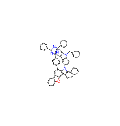 C1=CC(Cn2c3ccccc3c3cc(-n4c5c(-c6ccc(-c7nc(-c8ccccc8)nc(-c8ccccc8)n7)cc6)cc6c7ccccc7oc6c5c5ccc6ccccc6c54)ccc32)=CCC1